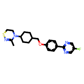 CC1=NSCCN1C1CCC(COc2ccc(-c3ncc(F)cn3)cc2)CC1